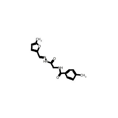 Cc1ccc(C(=O)NCC(=O)N/N=C/c2ccc(C)o2)cc1